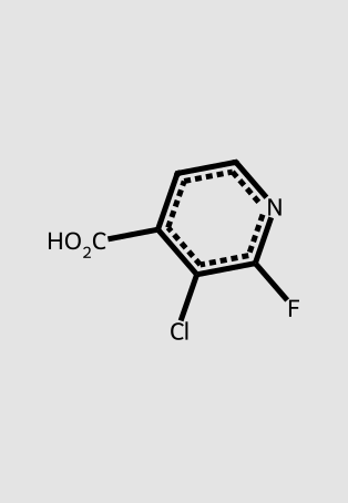 O=C(O)c1ccnc(F)c1Cl